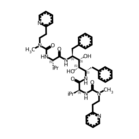 CC(C)[C@H](NC(=O)N(C)CCc1ccccn1)C(=O)N[C@@H](Cc1ccccc1)[C@H](O)[C@@H](O)[C@H](Cc1ccccc1)NC(=O)[C@@H](NC(=O)N(C)CCc1ccccn1)C(C)C